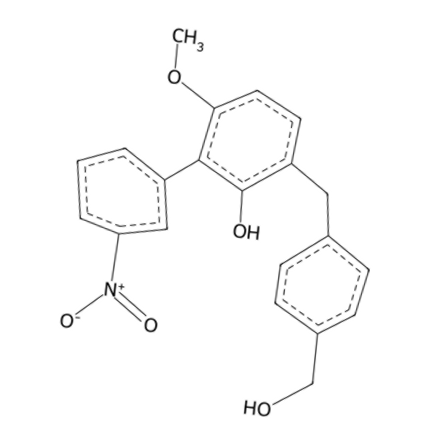 COc1ccc(Cc2ccc(CO)cc2)c(O)c1-c1cccc([N+](=O)[O-])c1